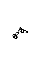 COc1cc(CC(C)(C)C)ccc1OCOC12CC3CC(CC(C3)C1)C2